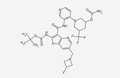 CC(C)(C)OC(=O)Nc1oc2cc(CN3CC(F)C3)cnc2c1C(=O)Nc1cnccc1N1CC(OC(N)=O)CC(C(F)(F)F)C1